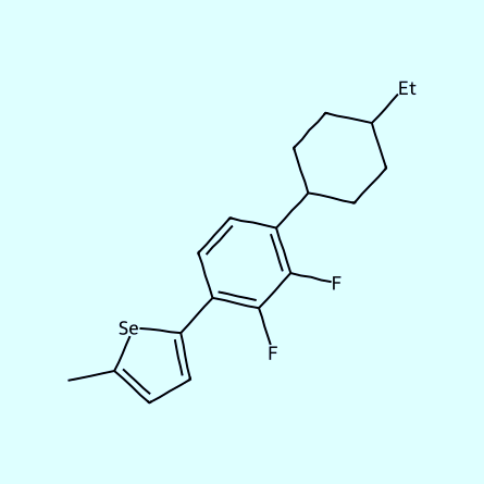 CCC1CCC(c2ccc(-c3ccc(C)[se]3)c(F)c2F)CC1